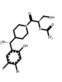 N[C@@H](c1cc(Cl)c(Br)cc1O)C1CCN(C(=O)[C@@H](CO)OC(=O)C(F)(F)F)CC1